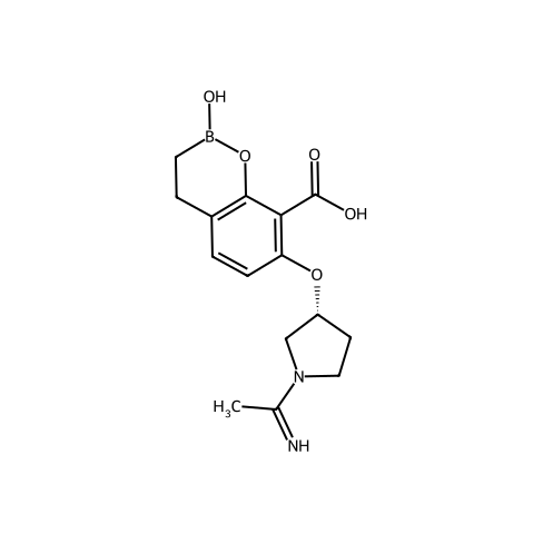 CC(=N)N1CC[C@@H](Oc2ccc3c(c2C(=O)O)OB(O)CC3)C1